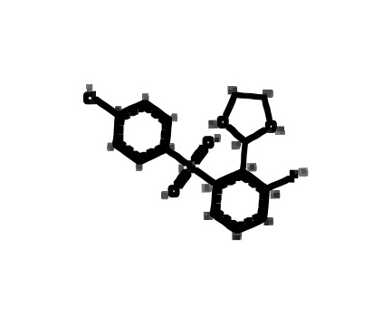 O=S(=O)(c1ccc(Cl)cc1)c1cccc(F)c1C1OCCO1